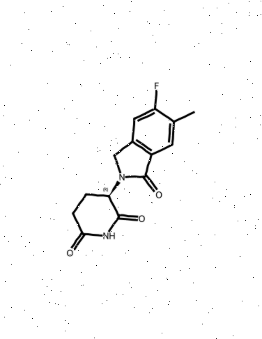 Cc1cc2c(cc1F)CN([C@@H]1CCC(=O)NC1=O)C2=O